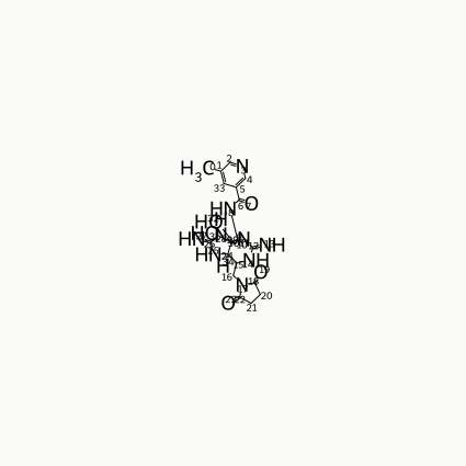 Cc1cncc(C(=O)NC2CN3C(=N)NC(CN4C(=O)CCC4=O)[C@@H]4NC(=N)N[C@@]43C2(O)O)c1